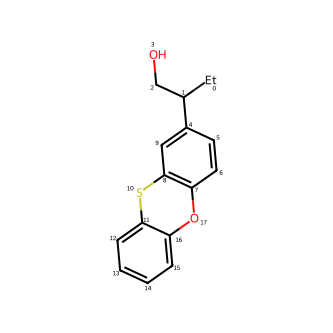 CCC(CO)c1ccc2c(c1)Sc1ccccc1O2